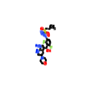 CCCS(=O)(=O)Nc1ccc(F)c(C(O)c2c[nH]c3ncc(N4CCOCC4)cc23)c1F